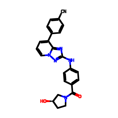 N#Cc1ccc(-c2cccn3nc(Nc4ccc(C(=O)N5CC[C@@H](O)C5)cc4)nc23)cc1